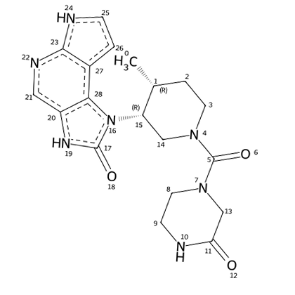 C[C@@H]1CCN(C(=O)N2CCNC(=O)C2)C[C@@H]1n1c(=O)[nH]c2cnc3[nH]ccc3c21